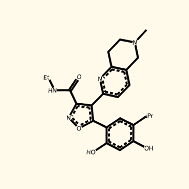 CCNC(=O)c1noc(-c2cc(C(C)C)c(O)cc2O)c1-c1ccc2c(n1)CCN(C)C2